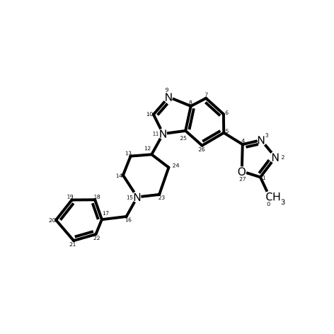 Cc1nnc(-c2ccc3ncn(C4CCN(Cc5ccccc5)CC4)c3c2)o1